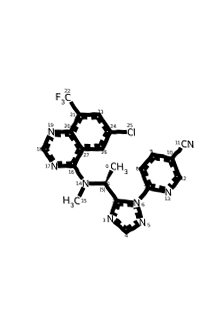 C[C@@H](c1ncnn1-c1ccc(C#N)cn1)N(C)c1ncnc2c(C(F)(F)F)cc(Cl)cc12